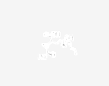 CCCCP(=O)(O)CCC(C(=O)O)C1CC1C(=O)O